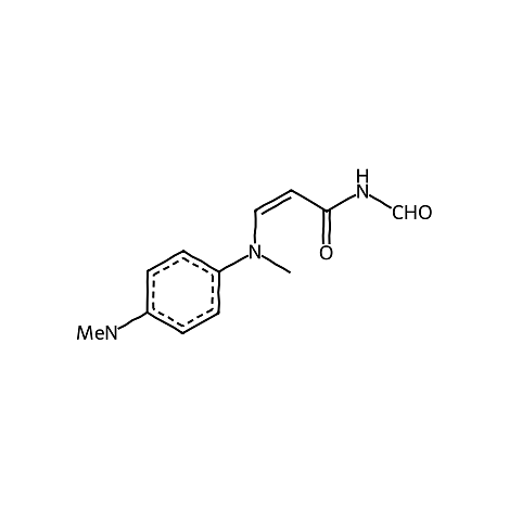 CNc1ccc(N(C)/C=C\C(=O)NC=O)cc1